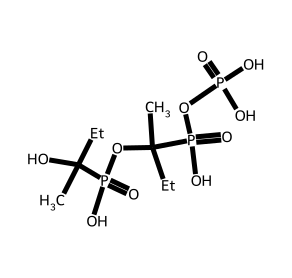 CCC(C)(O)P(=O)(O)OC(C)(CC)P(=O)(O)OP(=O)(O)O